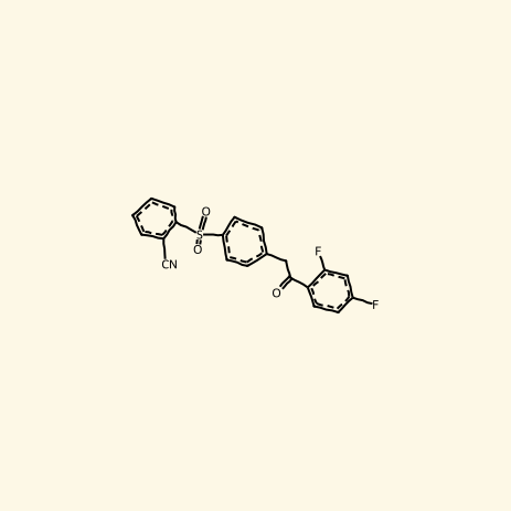 N#Cc1ccccc1S(=O)(=O)c1ccc(CC(=O)c2ccc(F)cc2F)cc1